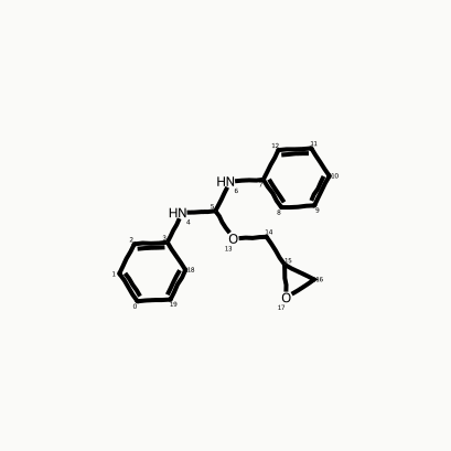 c1ccc(NC(Nc2ccccc2)OCC2CO2)cc1